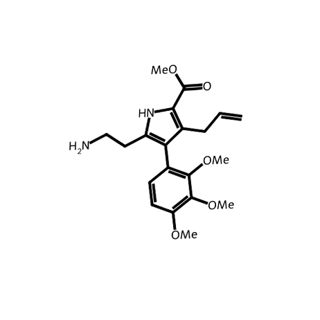 C=CCc1c(C(=O)OC)[nH]c(CCN)c1-c1ccc(OC)c(OC)c1OC